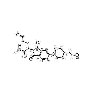 CNC(=O)C(CCC=O)N1C(=O)c2ccc(N3CCC(CC=O)CC3)cc2C1=O